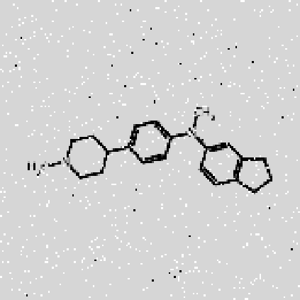 CN1CCC(c2ccc(N(C)c3ccc4c(c3)CCC4)cc2)CC1